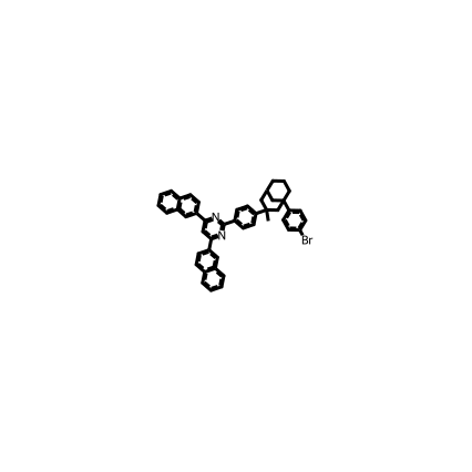 CC1(c2ccc(-c3nc(-c4ccc5ccccc5c4)cc(-c4ccc5ccccc5c4)n3)cc2)CC2CCCC(c3ccc(Br)cc3)(C2)C1